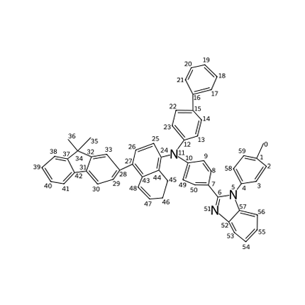 Cc1ccc(-n2c(-c3ccc(N(c4ccc(-c5ccccc5)cc4)c4ccc(-c5ccc6c(c5)C(C)(C)c5ccccc5-6)c5c4CCC=C5)cc3)nc3ccccc32)cc1